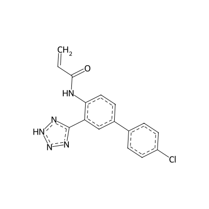 C=CC(=O)Nc1ccc(-c2ccc(Cl)cc2)cc1-c1nn[nH]n1